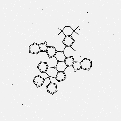 Cc1cc2c(cc1N1c3cc4oc5ccccc5c4cc3B3c4c1cc1c(oc5ccccc51)c4-c1cccc4c1N3c1ccccc1S4(c1ccccc1)c1ccccc1)C(C)(C)CCC2(C)C